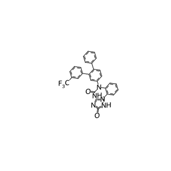 NC(=O)N(c1ccc(-c2ccccc2)c(-c2cccc(C(F)(F)F)c2)c1)c1ccccc1-n1cnc(=O)[nH]1